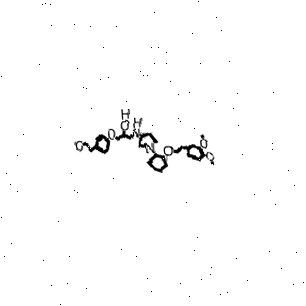 COCCc1ccc(OCC(O)CN[C@@H]2CCN(C3CCCC[C@@H]3OCCc3ccc(OC)c(OC)c3)C2)cc1